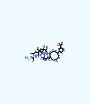 C=C(N)NC(=C)/C=C(\CN(N)CC(C)(C)CNC1(C)CCCCCC(c2cccc(C(C)=O)c2)CCCC1)C(C)(C)CC(C)(C)C(C)C